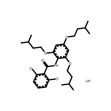 CC(C)CCOc1cc(OCCC(C)C)c(PC(=O)c2c(Cl)cccc2Cl)c(OCCC(C)C)c1.[LiH]